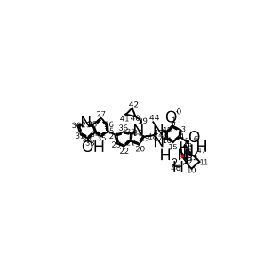 COc1cc(C(=O)N2C[C@H]3CC[C@@H]2[C@@H]3N)cc2nc(-c3cc4ccc(-c5ccc6nccc(O)c6c5)cc4n3CC3CC3)n(C)c12